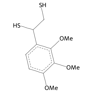 COc1ccc(C(S)CS)c(OC)c1OC